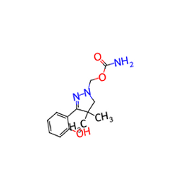 CC1(C)CN(COC(N)=O)N=C1c1ccccc1O